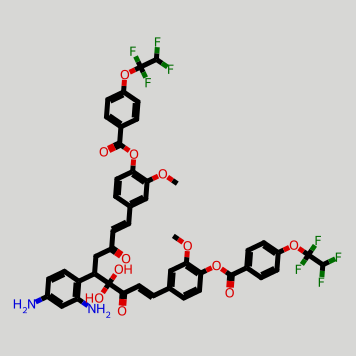 COc1cc(C=CC(=O)CC(c2ccc(N)cc2N)C(O)(O)C(=O)C=Cc2ccc(OC(=O)c3ccc(OC(F)(F)C(F)F)cc3)c(OC)c2)ccc1OC(=O)c1ccc(OC(F)(F)C(F)F)cc1